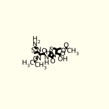 CC(=O)OCC1=C(C(=O)O)N2C(=O)C(NC(=O)C(=NOC(C)C)c3csc(N)n3)[C@@H]2SC1